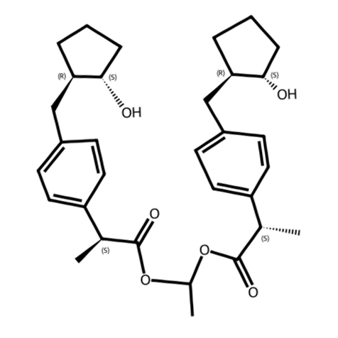 CC(OC(=O)[C@@H](C)c1ccc(C[C@H]2CCC[C@@H]2O)cc1)OC(=O)[C@@H](C)c1ccc(C[C@H]2CCC[C@@H]2O)cc1